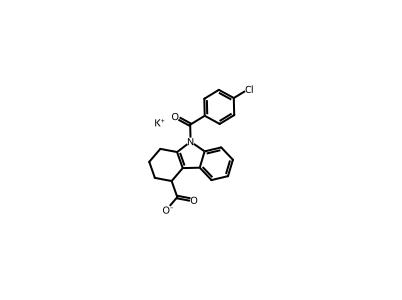 O=C([O-])C1CCCc2c1c1ccccc1n2C(=O)c1ccc(Cl)cc1.[K+]